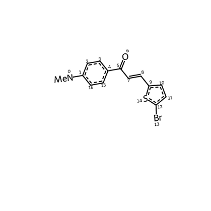 CNc1ccc(C(=O)C=Cc2ccc(Br)s2)cc1